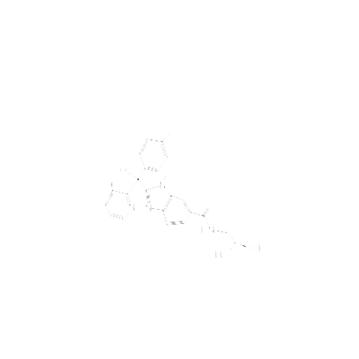 C[C@@H](O)CNC(=O)c1ccc2nc(C(O)(c3ccc(F)cc3)c3ncccc3F)n(C)c2c1